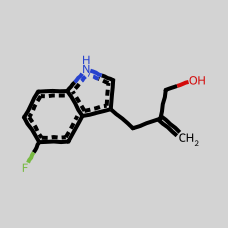 C=C(CO)Cc1c[nH]c2ccc(F)cc12